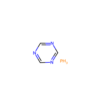 P.c1ncncn1